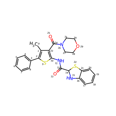 Cc1c(-c2ccccc2)sc(NC(=O)C2Nc3ccccc3S2)c1C(=O)N1CCOCC1